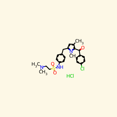 Cc1cc(Cc2ccc(NS(=O)(=O)CCN(C)C)cc2)n(C)c1C(=O)c1ccc(Cl)cc1.Cl